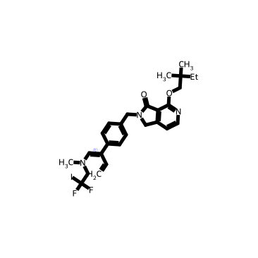 C=C/C(=C\N(C)CC(F)(F)I)c1ccc(CN2Cc3ccnc(OCC(C)(C)CC)c3C2=O)cc1